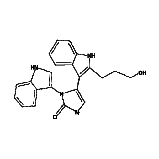 O=C1[N]C=C(c2c(CCCO)[nH]c3ccccc23)N1c1c[nH]c2ccccc12